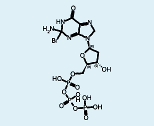 NC1(Br)N=C2C(=NCN2[C@H]2C[C@H](O)[C@@H](COP(=O)(O)OP(=O)(O)OP(=O)(O)O)O2)C(=O)N1